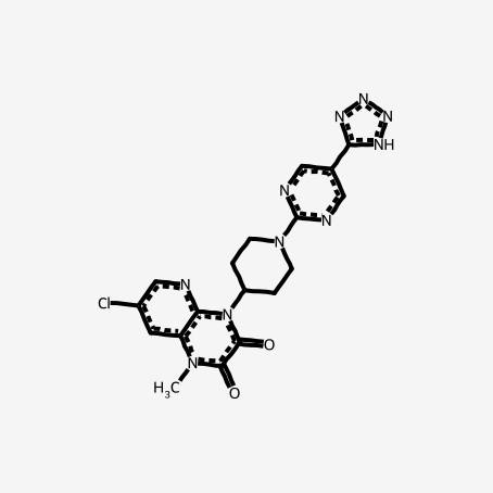 Cn1c(=O)c(=O)n(C2CCN(c3ncc(-c4nnn[nH]4)cn3)CC2)c2ncc(Cl)cc21